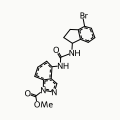 COC(=O)n1ncc2c(NC(=O)NC3CCc4c(Br)cccc43)cccc21